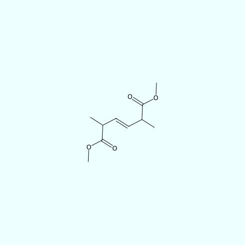 COC(=O)C(C)/C=C/C(C)C(=O)OC